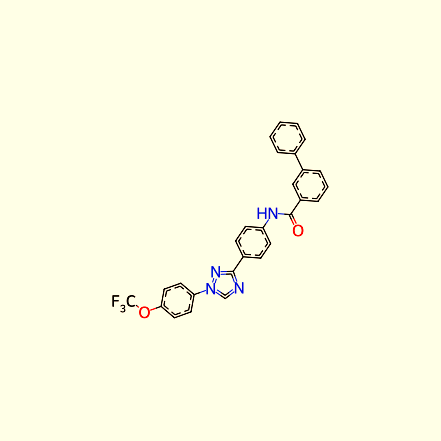 O=C(Nc1ccc(-c2ncn(-c3ccc(OC(F)(F)F)cc3)n2)cc1)c1cccc(-c2ccccc2)c1